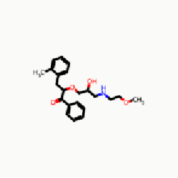 COCCNCC(O)COC(Cc1ccccc1C)C(=O)c1ccccc1